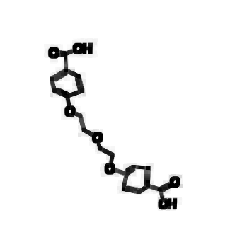 O=C(O)c1ccc(OCCOCCOc2ccc(C(=O)O)cc2)cc1